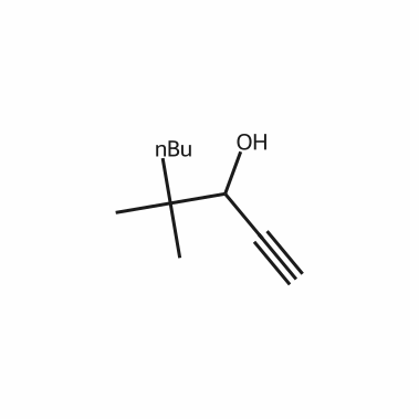 C#CC(O)C(C)(C)CCCC